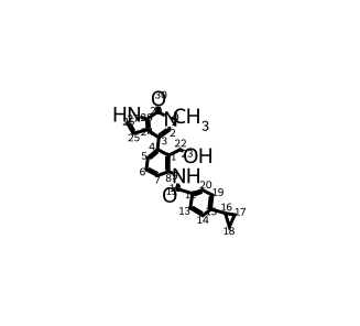 Cn1cc(-c2cccc(NC(=O)c3ccc(C4CC4)cc3)c2CO)c2cc[nH]c2c1=O